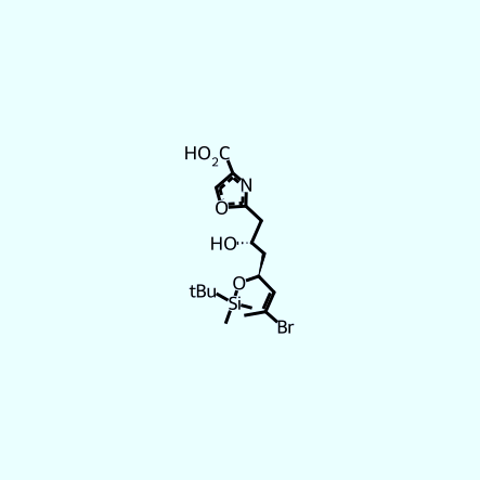 C/C(Br)=C\[C@H](C[C@H](O)Cc1nc(C(=O)O)co1)O[Si](C)(C)C(C)(C)C